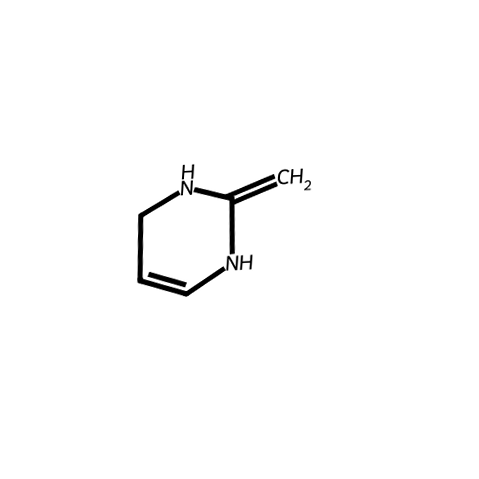 C=C1NC=CCN1